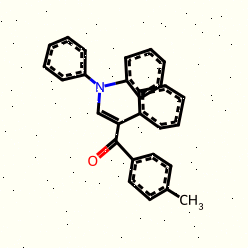 Cc1ccc(C(=O)/C(=C/N(c2ccccc2)c2ccccc2)c2ccccc2)cc1